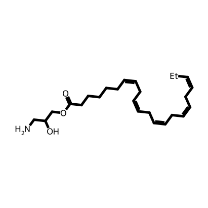 CC/C=C\C/C=C\C/C=C\C/C=C\C/C=C\CCCCCC(=O)OCC(O)CN